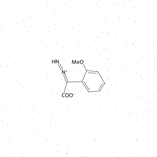 COc1ccccc1C(=[N+]=N)C(=O)[O-]